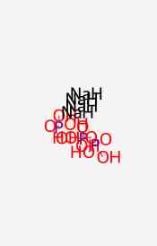 O=P(O)(O)O.O=P(O)(O)OP(=O)(O)O.[NaH].[NaH].[NaH].[NaH]